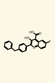 O=C(O)c1c(O)c(-c2ccc(Cc3ccccc3)cc2)nc2ccc(F)cc12